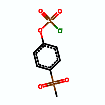 CS(=O)(=O)c1ccc(OS(=O)(=O)Cl)cc1